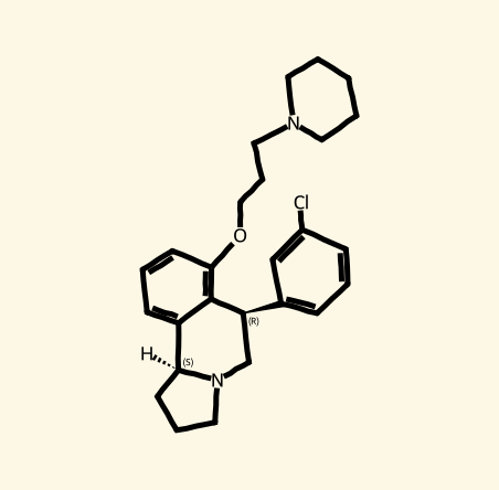 Clc1cccc([C@H]2CN3CCC[C@H]3c3cccc(OCCCN4CCCCC4)c32)c1